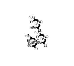 CCCCC(CC)CP(=O)([O-])CC(CC)CCCC.CCCCC(CC)CP(=O)([O-])CC(CC)CCCC.CCCCC(CC)CP(=O)([O-])CC(CC)CCCC.[Fe+3]